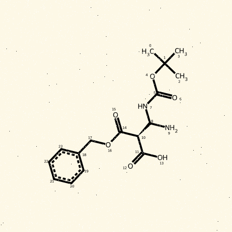 CC(C)(C)OC(=O)NC(N)[C@@H](C(=O)O)C(=O)OCc1ccccc1